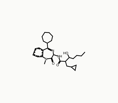 CCCCC(O)C(CC1CC1)C(=O)NC1N=C(C2CCCCCC2)c2ccccc2N(C)C1=O